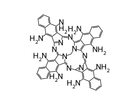 Nc1c2c(c(N)c3ccccc13)/C1=N/c3c4c(N)c5ccccc5c(N)c4c4n3Cn3/c(c5c(N)c6ccccc6c(N)c5/c3=N/C3=NC(=N\4)/c4c3c(N)c3ccccc3c4N)=N\C2=N1